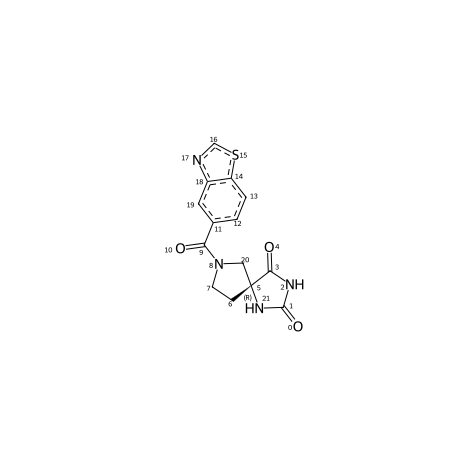 O=C1NC(=O)[C@]2(CCN(C(=O)c3ccc4scnc4c3)C2)N1